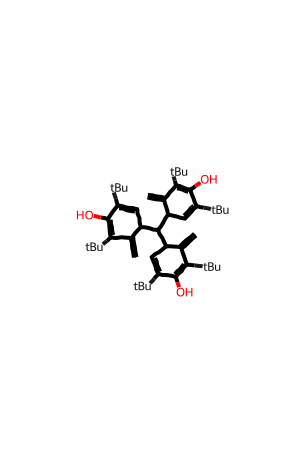 C=C1C(C(C)(C)C)=C(O)C(C(C)(C)C)=CC1C(C1C=C(C(C)(C)C)C(O)=C(C(C)(C)C)C1=C)C1C=C(C(C)(C)C)C(O)=C(C(C)(C)C)C1=C